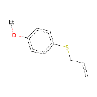 C=CCSc1ccc(OCC)cc1